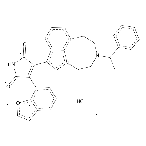 CC(c1ccccc1)N1CCc2cccc3c(C4=C(c5cccc6ccoc56)C(=O)NC4=O)cn(c23)CC1.Cl